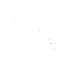 O=C(CN1CCN(CCNC(=O)c2cc3cc(O)ccc3oc2=O)CC1)NCCCCCCNc1cccc2c1C(=O)N(C1CCC(=O)NC1=O)C2=O